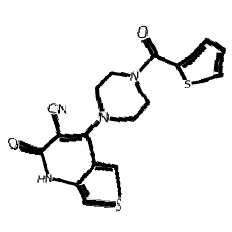 N#Cc1c(N2CCN(C(=O)c3cccs3)CC2)c2cscc2[nH]c1=O